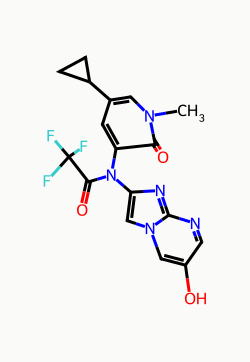 Cn1cc(C2CC2)cc(N(C(=O)C(F)(F)F)c2cn3cc(O)cnc3n2)c1=O